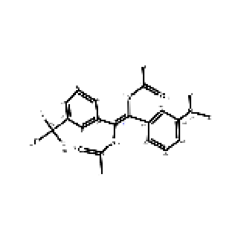 CC(=O)S/C(=C(/SC(C)=O)c1cccc(C(F)(F)F)c1)c1cccc(N(C)C)c1